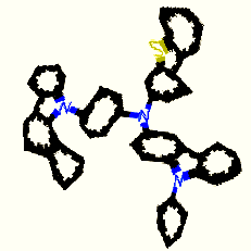 c1ccc(-n2c3ccccc3c3cc(N(c4ccc(-n5c6ccccc6c6ccc7ccccc7c65)cc4)c4ccc5c(c4)sc4ccccc45)ccc32)cc1